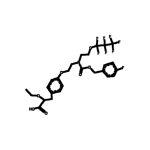 CCOC(Cc1ccc(OCCN(CCOC(F)(F)C(F)(F)C(F)(F)F)C(=O)OCc2ccc(F)cc2)cc1)C(=O)O